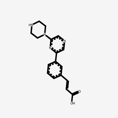 O=C(O)C=Cc1cccc(-c2cncc(N3CCNCC3)n2)c1